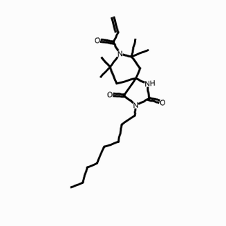 C=CC(=O)N1C(C)(C)CC2(CC1(C)C)NC(=O)N(CCCCCCCC)C2=O